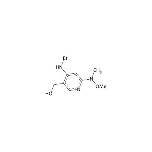 CCNc1cc(N(C)OC)ncc1CO